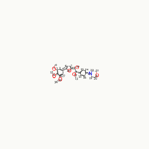 COc1cc(-c2ccc(C(=O)C(OC)c3ccc(N4CCOCC4)cc3)o2)cc(OC)c1OC